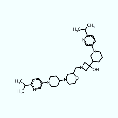 CC(C)c1ccc(N2CCC(N3CCOC(CN4CC(O)(C5CCCN(c6ccc(C(C)C)nc6)C5)C4)C3)CC2)cn1